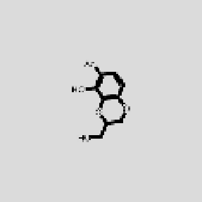 CC(=O)c1ccc2c(c1O)OC(CO)CO2